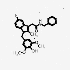 COc1cc(CC2C(C)=C(CC(=O)NCc3ccccc3)c3cc(F)ccc32)cc(OC)c1O